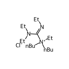 CCCC[N+](CC)(CCCC)C(=NCC)N(CC)CC.[Cl-]